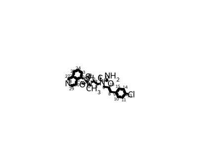 CN(CC[N+](C)(CC=Cc1ccc(Cl)cc1)C(N)=O)S(=O)(=O)c1cccc2cnccc12